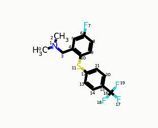 CN(C)Cc1cc(F)ccc1Sc1ccc(C(F)(F)F)cc1